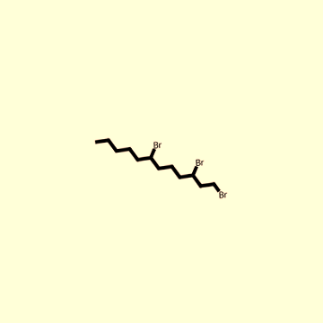 CCCCCC(Br)CCCC(Br)CCBr